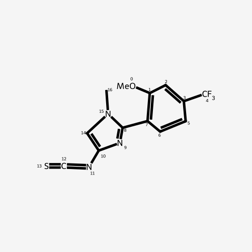 COc1cc(C(F)(F)F)ccc1-c1nc(N=C=S)cn1C